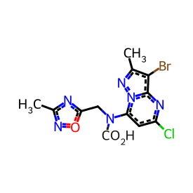 Cc1noc(CN(C(=O)O)c2cc(Cl)nc3c(Br)c(C)nn23)n1